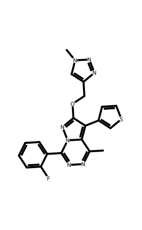 Cc1nnc(-c2ccccc2F)n2nc(OCc3cn(C)nn3)c(-c3ccsc3)c12